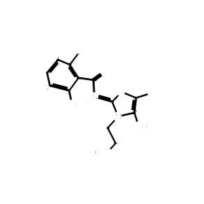 COCCn1c(C)c(C)s/c1=N\C(=O)c1c(F)cccc1Cl